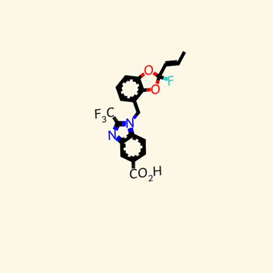 C/C=C/C1(F)Oc2cccc(Cn3c(C(F)(F)F)nc4cc(C(=O)O)ccc43)c2O1